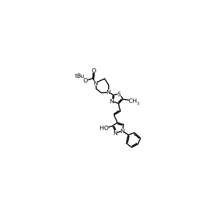 Cc1sc(N2CCN(C(=O)OC(C)(C)C)CC2)nc1C=Cc1cn(-c2ccccc2)nc1O